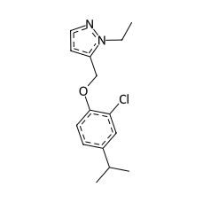 CCn1nccc1COc1ccc(C(C)C)cc1Cl